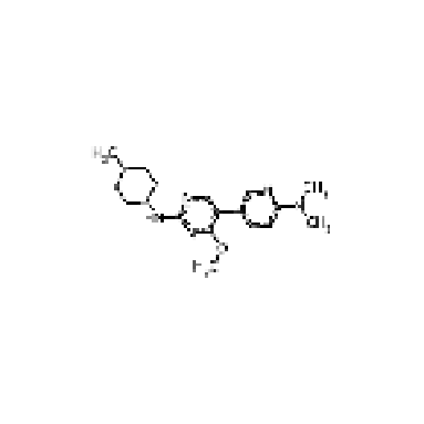 COc1nc(N[C@H]2CC[C@H](C)CC2)ncc1-c1ccc(N(C)C)nc1